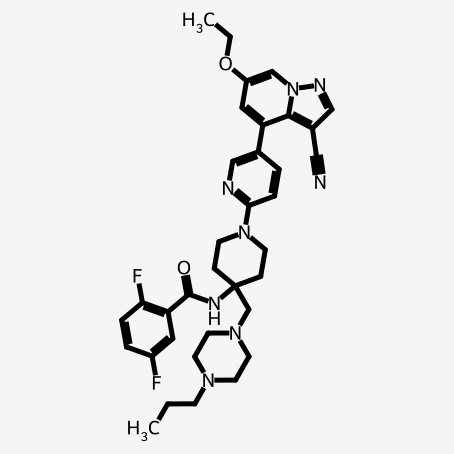 CCCN1CCN(CC2(NC(=O)c3cc(F)ccc3F)CCN(c3ccc(-c4cc(OCC)cn5ncc(C#N)c45)cn3)CC2)CC1